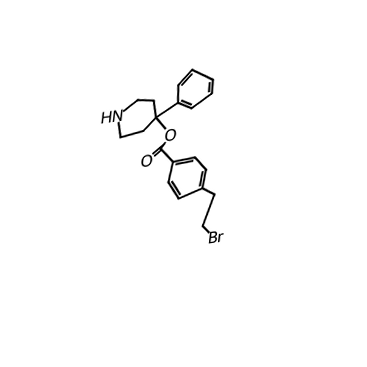 O=C(OC1(c2ccccc2)CCNCC1)c1ccc(CCBr)cc1